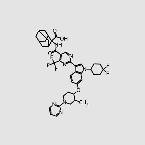 CC1CN(c2ncccn2)CCC1Oc1ccc2c(-c3ncc(C(=O)NC4(C(=O)O)C5CC6CC(C5)CC4C6)c(C(F)(F)F)n3)cn(C3CCC(F)(F)CC3)c2c1